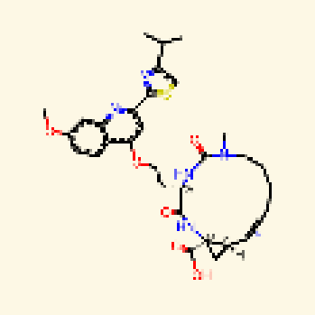 COc1ccc2c(OCC[C@@H]3NC(=O)N(C)CCCC/C=C\[C@@H]4C[C@@]4(C(=O)O)NC3=O)cc(-c3nc(C(C)C)cs3)nc2c1